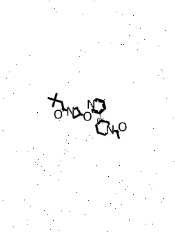 CC(=O)N1CCC[C@H](c2cccnc2OC2CN(C(=O)CC(C)(C)C)C2)C1